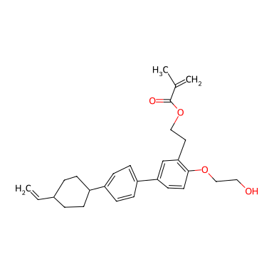 C=CC1CCC(c2ccc(-c3ccc(OCCO)c(CCOC(=O)C(=C)C)c3)cc2)CC1